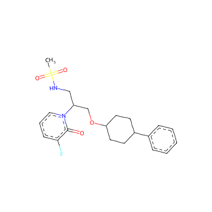 CS(=O)(=O)NCC(COC1CCC(c2ccccc2)CC1)n1cccc(F)c1=O